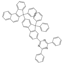 c1ccc(-c2nc(-c3ccccc3)nc(-c3ccc4c(c3)C(c3ccccc3)(c3ccccc3)c3cc(C5(c6ccccc6)c6ccccc6-c6c5ccc5ccccc65)ccc3-4)n2)cc1